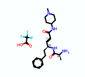 C[C@H](N)C(=O)N[C@H](/C=C/C(=O)NC1CCN(C)CC1)CCc1ccccc1.O=C(O)C(F)(F)F